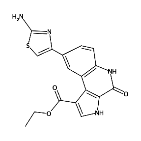 CCOC(=O)c1c[nH]c2c(=O)[nH]c3ccc(-c4csc(N)n4)cc3c12